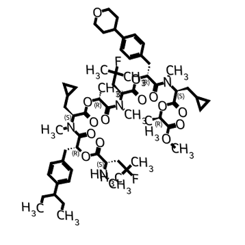 CCC(CC)c1ccc(C[C@@H](OC(=O)[C@H](CC(C)(C)F)NC)C(=O)N(C)[C@@H](CC2CC2)C(=O)O[C@H](C)C(=O)N(C)[C@@H](CC(C)(C)F)C(=O)O[C@H](Cc2ccc(C3CCOCC3)cc2)C(=O)N(C)[C@@H](CC2CC2)C(=O)O[C@H](C)C(=O)OC)cc1